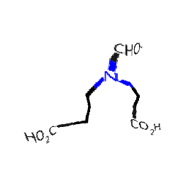 O=[C]N(CCC(=O)O)CC(=O)O